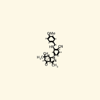 COc1ccc(CNc2cc(-n3nc(C)c4c3CC(C)(C)CC4=O)ccc2C#N)cc1